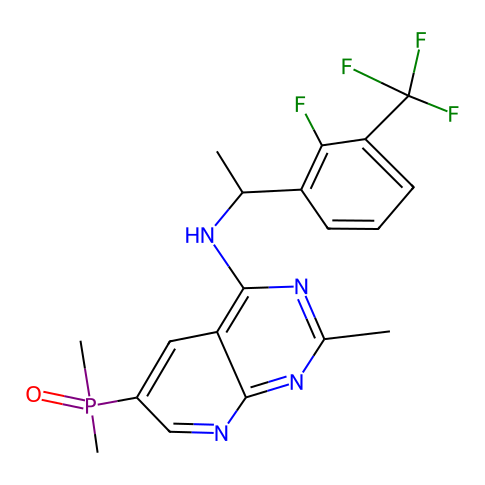 Cc1nc(NC(C)c2cccc(C(F)(F)F)c2F)c2cc(P(C)(C)=O)cnc2n1